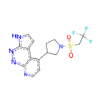 O=S(=O)(CC(F)(F)F)N1CCC(c2ccnc3nnc4[nH]ccc4c23)C1